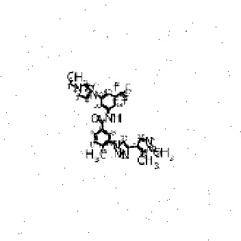 CCN1CC2CC1CN2c1cc(NC(=O)c2ccc(C)c(-n3cc(-c4cnn(C)c4C)nn3)c2)cc(C(F)(F)F)c1